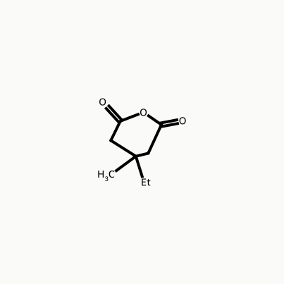 CCC1(C)CC(=O)OC(=O)C1